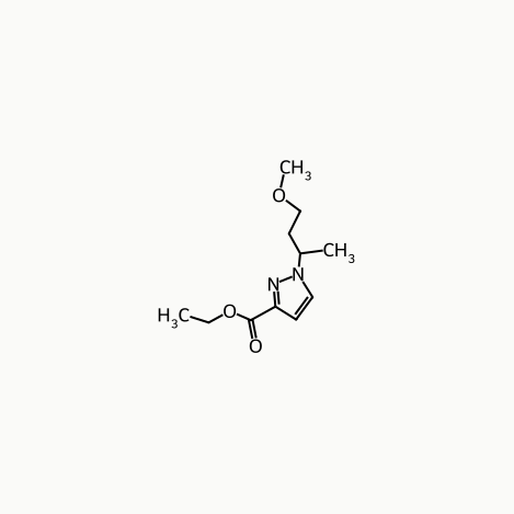 CCOC(=O)c1ccn(C(C)CCOC)n1